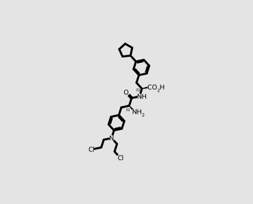 N[C@@H](Cc1ccc(N(CCCl)CCCl)cc1)C(=O)N[C@@H](Cc1cccc(C2CCCC2)c1)C(=O)O